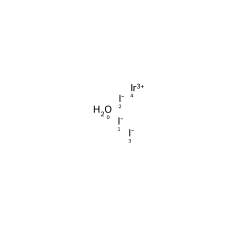 O.[I-].[I-].[I-].[Ir+3]